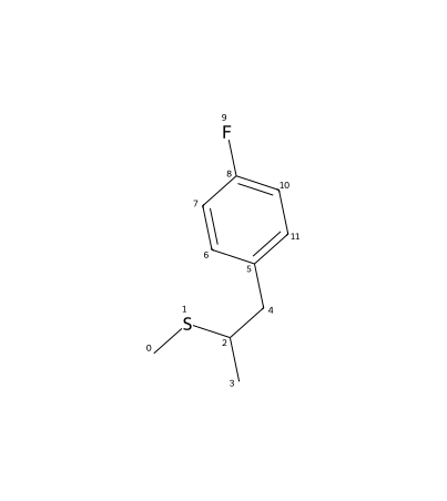 CSC(C)Cc1ccc(F)cc1